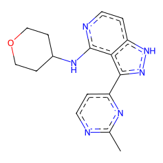 Cc1nccc(-c2n[nH]c3ccnc(NC4CCOCC4)c23)n1